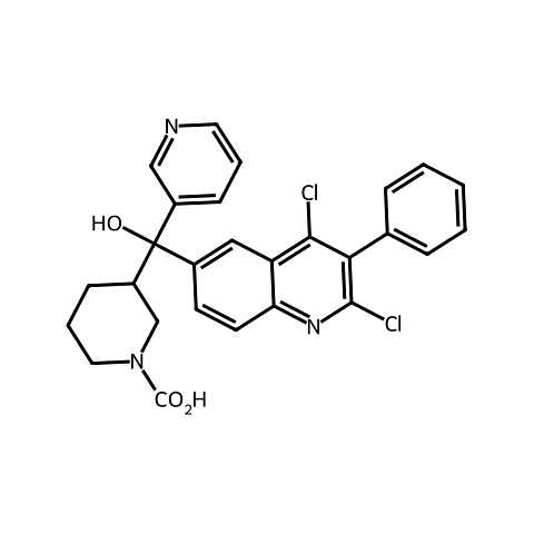 O=C(O)N1CCCC(C(O)(c2cccnc2)c2ccc3nc(Cl)c(-c4ccccc4)c(Cl)c3c2)C1